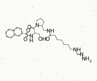 NN=CNCCCCCCC(=O)NCC1CCCN1C(=O)C(CO)NS(=O)(=O)c1ccc2ccccc2c1